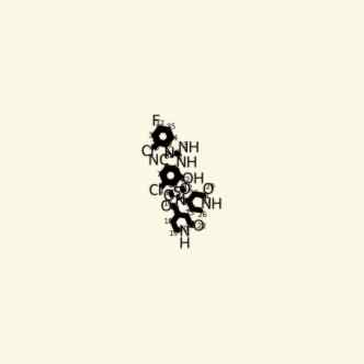 N#CN(C(=N)Nc1ccc(Cl)c(S(=O)(=O)N(C(=O)C2CCNC(=O)C2)C2CCNC(=O)C2)c1O)c1ccc(F)cc1Cl